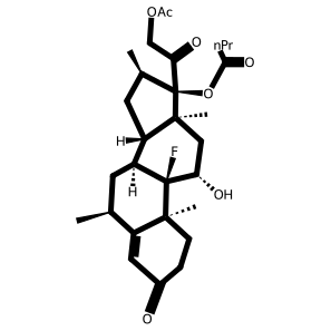 CCCC(=O)O[C@]1(C(=O)COC(C)=O)[C@H](C)C[C@H]2[C@@H]3C[C@H](C)C4=CC(=O)CC[C@]4(C)[C@@]3(F)[C@@H](O)C[C@@]21C